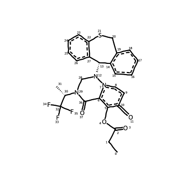 CCC(=O)Oc1c2n(ccc1=O)N([C@H]1c3ccccc3CSc3ccccc31)CN([C@@H](C)C(F)(F)F)C2=O